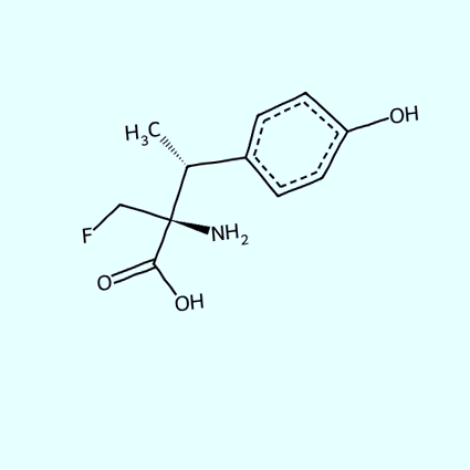 C[C@H](c1ccc(O)cc1)[C@@](N)(CF)C(=O)O